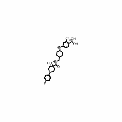 CC1(C(=O)NCC2CCC(Nc3ccc(N(O)O)c(C(F)(F)F)c3)CC2)CCN(c2ccc(F)cc2)CC1